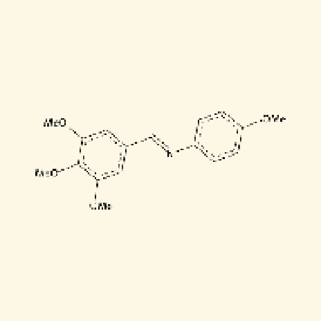 COc1ccc(N=Cc2cc(OC)c(OC)c(OC)c2)cc1